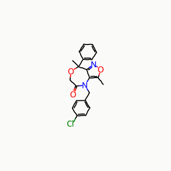 Cc1onc2c1N(Cc1ccc(Cl)cc1)C(=O)COC2(C)c1ccccc1